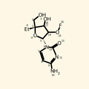 CC[C@]1(CO)O[C@@H](n2ccc(N)nc2=O)C(OF)C1O